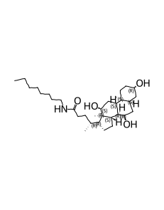 CCCCCCCCNC(=O)CC[C@@H](C)[C@H]1CC[C@H]2[C@@H]3[C@H](O)C[C@@H]4C[C@H](O)CC[C@]4(C)[C@H]3C[C@H](O)[C@]12C